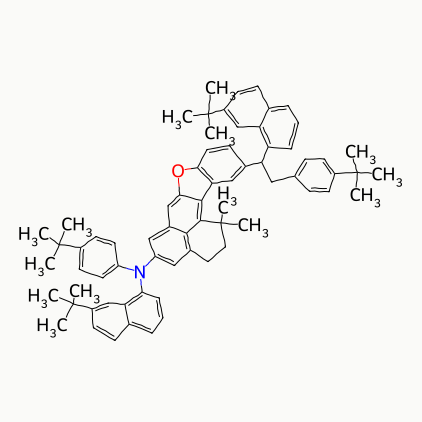 CC(C)(C)c1ccc(CC(c2ccc3oc4cc5cc(N(c6ccc(C(C)(C)C)cc6)c6cccc7ccc(C(C)(C)C)cc67)cc6c5c(c4c3c2)C(C)(C)CC6)c2cccc3ccc(C(C)(C)C)cc23)cc1